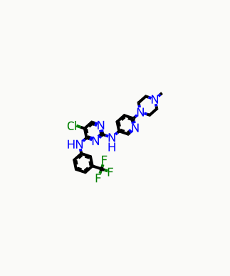 CN1CCN(c2ccc(Nc3ncc(Cl)c(Nc4cccc(C(F)(F)F)c4)n3)cn2)CC1